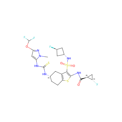 Cn1nc(OC(F)F)cc1NC(=S)N[C@H]1CCc2sc(NC(=O)[C@H]3C[C@@H]3F)c(S(=O)(=O)N[C@H]3C[C@H](F)C3)c2C1